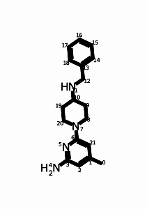 Cc1cc(N)nc(N2CCC(NCc3ccccc3)CC2)c1